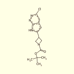 CC(C)(C)OC(=O)N1CC(c2cc3cc(Cl)nnc3[nH]2)C1